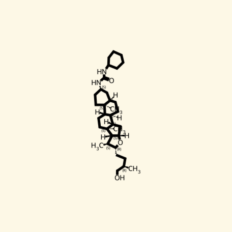 C[C@@H](CO)CC[C@H]1O[C@H]2C[C@H]3[C@@H]4CC[C@@H]5C[C@@H](NC(=O)NC6CCCCC6)CC[C@]5(C)[C@H]4CC[C@]3(C)[C@H]2[C@@H]1C